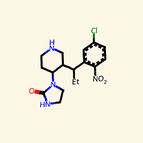 CCC(c1cc(Cl)ccc1[N+](=O)[O-])C1CNCCC1N1CCNC1=O